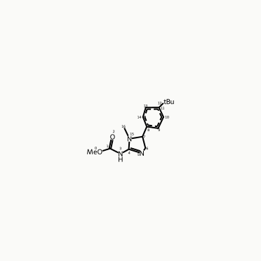 COC(=O)NC1=NCC(c2ccc(C(C)(C)C)cc2)N1C